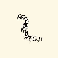 O=C(O)CC1COc2cc(O[C@@H]3CCc4c(Oc5ccc6c(c5)NC(=O)CC6)ccc(F)c43)ccc21